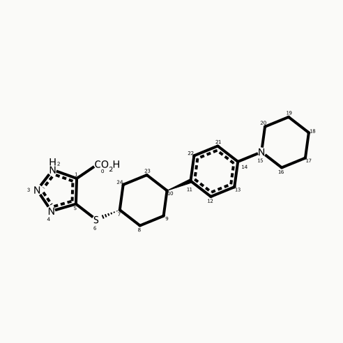 O=C(O)c1[nH]nnc1S[C@H]1CC[C@H](c2ccc(N3CCCCC3)cc2)CC1